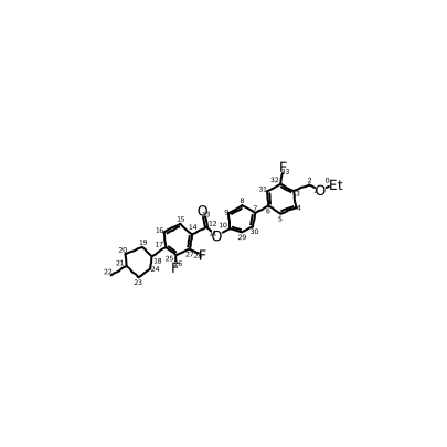 CCOCc1ccc(-c2ccc(OC(=O)c3ccc(C4CCC(C)CC4)c(F)c3F)cc2)cc1F